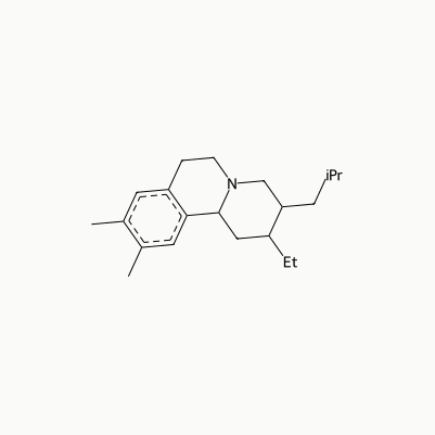 CCC1CC2c3cc(C)c(C)cc3CCN2CC1CC(C)C